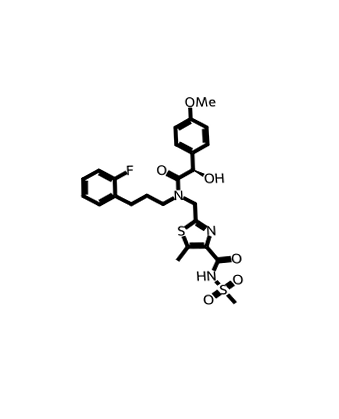 COc1ccc([C@@H](O)C(=O)N(CCCc2ccccc2F)Cc2nc(C(=O)NS(C)(=O)=O)c(C)s2)cc1